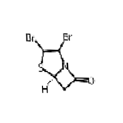 O=C1C[C@H]2SC(Br)C(Br)N12